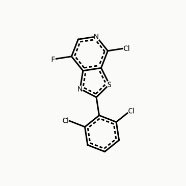 Fc1cnc(Cl)c2sc(-c3c(Cl)cccc3Cl)nc12